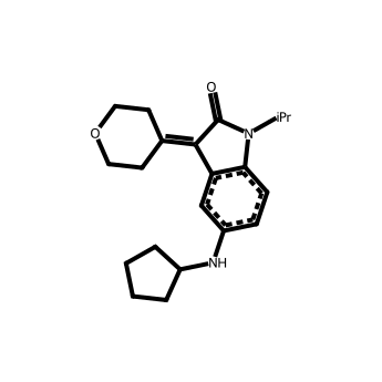 CC(C)N1C(=O)C(=C2CCOCC2)c2cc(NC3CCCC3)ccc21